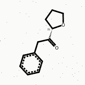 O=C(Cc1ccccc1)[C@@H]1CCCO1